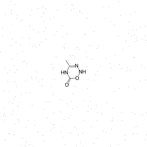 CC1=NNOC(=O)N1